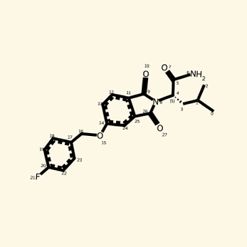 CC(C)C[C@@H](C(N)=O)N1C(=O)c2ccc(OCc3ccc(F)cc3)cc2C1=O